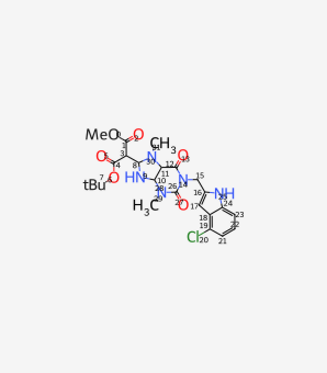 COC(=O)C(C(=O)OC(C)(C)C)C1NC2C(C(=O)N(Cc3cc4c(Cl)cccc4[nH]3)C(=O)N2C)N1C